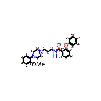 COc1ccccc1N1CCN(CCCNC(=O)c2ccccc2Oc2ccccc2)CC1